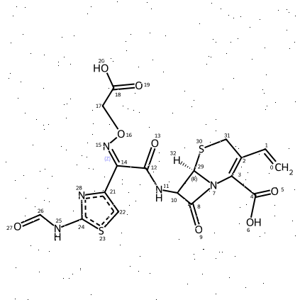 C=CC1=C(C(=O)O)N2C(=O)C(NC(=O)/C(=N\OCC(=O)O)c3csc(NC=O)n3)[C@H]2SC1